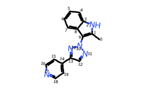 Cc1[nH]c2ccccc2c1-n1ncc(-c2ccncc2)n1